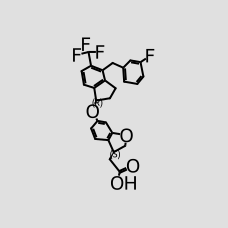 O=C(O)C[C@@H]1COc2cc(O[C@@H]3CCc4c3ccc(C(F)(F)F)c4Cc3cccc(F)c3)ccc21